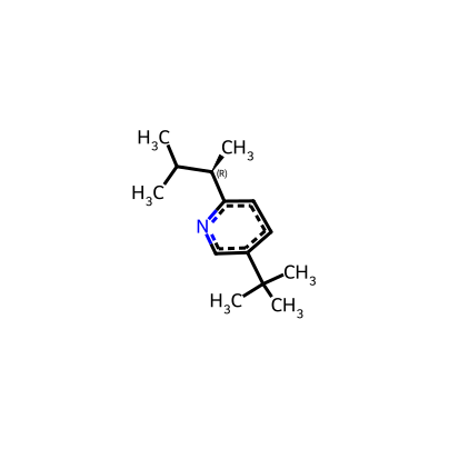 CC(C)[C@@H](C)c1ccc(C(C)(C)C)cn1